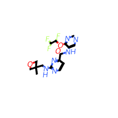 CC1(CNc2nccc(C(=O)Nc3cncnc3OC(F)C(F)F)n2)COC1